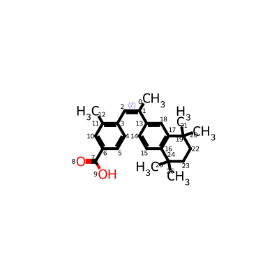 C/C(=C/c1ccc(C(=O)O)cc1C)c1ccc2c(c1)C(C)(C)CCC2(C)C